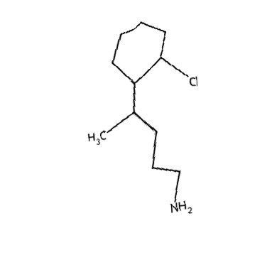 CC(CCCN)C1CCCCC1Cl